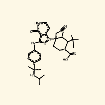 CC(C)NC(C)(C)c1ccc(Nc2nn(C3(CC#N)CCN(C(=O)O)C(C(C)(C)C)C3F)c3cc[nH]c(=O)c23)cc1